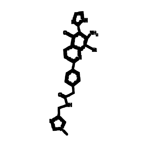 CCn1c(N)c(-c2ncc[nH]2)c(=O)c2ccc(-c3ccc(CC(=O)NCc4cn(C)cn4)cc3)nc21